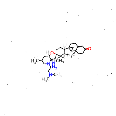 C[C@H]1C[C@H]2O[C@]3(CC[C@@H]4C5(CC53C)C[C@@]35CC43CCC3=CC(=O)CC[C@@]35C)[C@H](C)[C@]2(N)N(CCN(C)C)C1